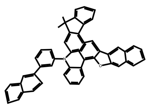 CC1(C)c2ccccc2-c2ccc(N(c3cccc(-c4ccc5ccccc5c4)c3)c3ccccc3-c3cccc4c3oc3cc5ccccc5cc34)cc21